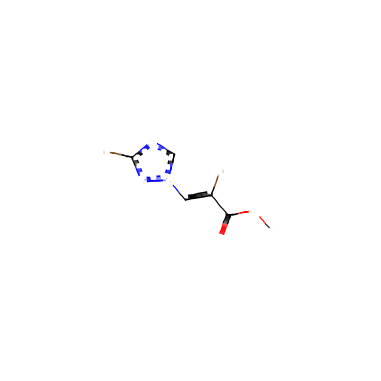 CC(C)OC(=O)/C(Br)=C/n1cnc(Br)n1